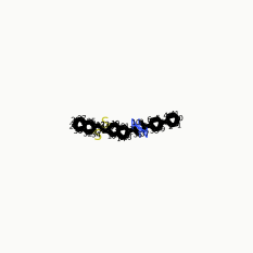 c1ccc(-c2ccc(-c3cnc(-c4ccc5cc6c(cc5c4)sc4c5cc7ccccc7cc5sc64)cn3)cc2)cc1